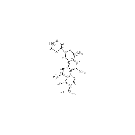 Cc1nc(N[C@H](C)c2cccc(C(F)F)c2F)c2c(n1)N(C)CC(C1CCNCC1)=C2